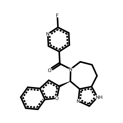 O=C(c1ccc(F)nc1)N1CCCc2[nH]cnc2[C@H]1c1cc2ccccc2o1